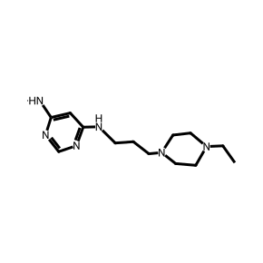 CCN1CCN(CCCNc2cc([NH])ncn2)CC1